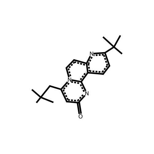 CC(C)(C)Cc1cc(=O)nc2c3ccc(C(C)(C)C)nc3ccn12